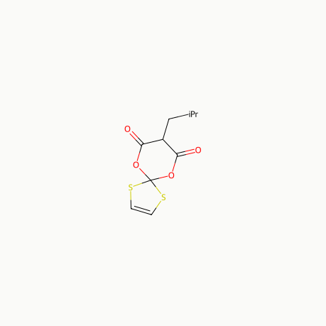 CC(C)CC1C(=O)OC2(OC1=O)SC=CS2